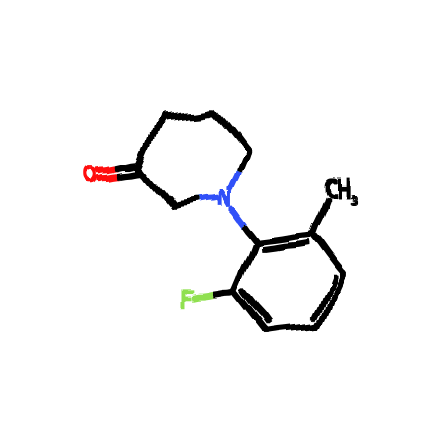 Cc1cccc(F)c1N1CCCC(=O)C1